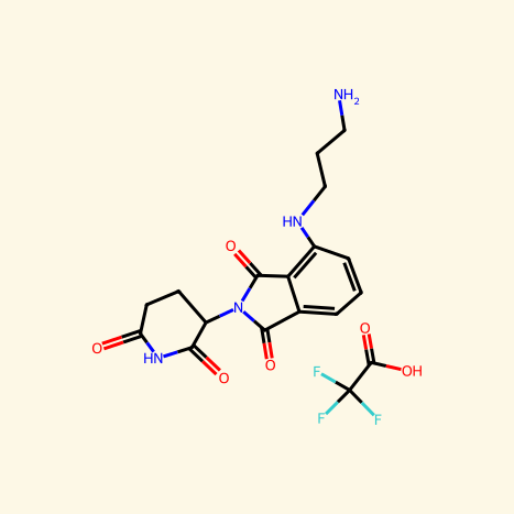 NCCCNc1cccc2c1C(=O)N(C1CCC(=O)NC1=O)C2=O.O=C(O)C(F)(F)F